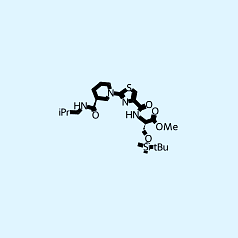 COC(=O)[C@H](CO[Si](C)(C)C(C)(C)C)NC(=O)c1csc(N2CCC[C@H](C(=O)NCC(C)C)C2)n1